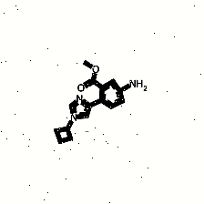 COC(=O)c1cc(N)ccc1-c1cn(C2CCC2)cn1